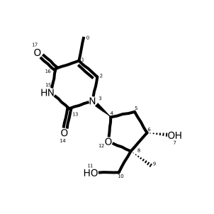 Cc1cn([C@H]2C[C@H](O)[C@@](C)(CO)O2)c(=O)[nH]c1=O